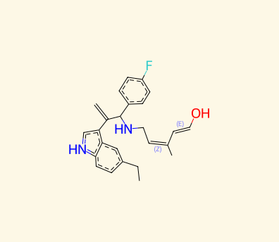 C=C(c1c[nH]c2ccc(CC)cc12)C(NC/C=C(C)\C=C\O)c1ccc(F)cc1